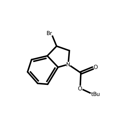 CC(C)(C)OC(=O)N1CC(Br)c2ccccc21